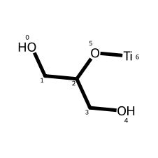 OCC(CO)[O][Ti]